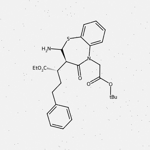 CCOC(=O)[C@@H](CCc1ccccc1)[C@@H]1C(=O)N(CC(=O)OC(C)(C)C)c2ccccc2SC1N